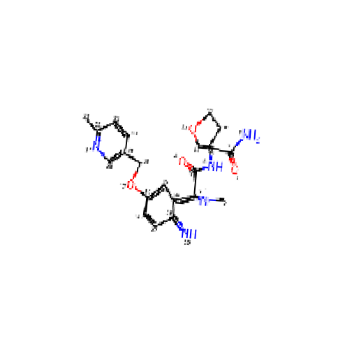 CN/C(C(=O)NC1(C(N)=O)CCOC1)=C1/C=C(OCc2ccc(C)nc2)C=CC1=N